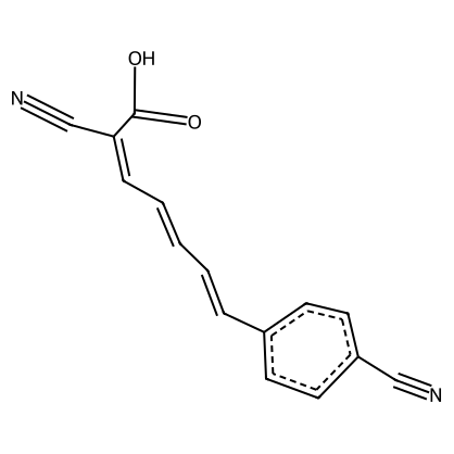 N#CC(=CC=CC=Cc1ccc(C#N)cc1)C(=O)O